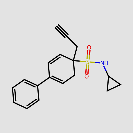 C#CCC1(S(=O)(=O)NC2CC2)C=CC(c2ccccc2)=CC1